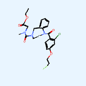 CCOC(=O)CN(C)C(=O)N1CCN(C(=O)c2ccc(OCCF)cc2Cl)c2ccccc2C1